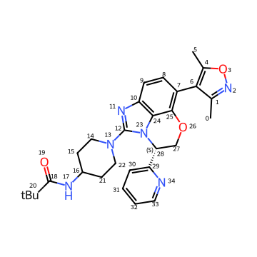 Cc1noc(C)c1-c1ccc2nc(N3CCC(NC(=O)C(C)(C)C)CC3)n3c2c1OC[C@@H]3c1ccccn1